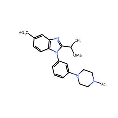 COC(C)c1nc2cc(C(=O)O)ccc2n1-c1cccc(N2CCN(C(C)=O)CC2)c1